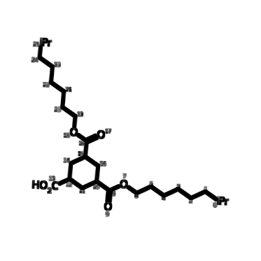 CC(C)CCCCCCOC(=O)C1CC(C(=O)O)CC(C(=O)OCCCCCCC(C)C)C1